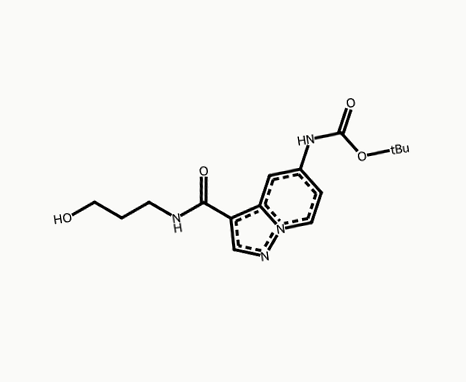 CC(C)(C)OC(=O)Nc1ccn2ncc(C(=O)NCCCO)c2c1